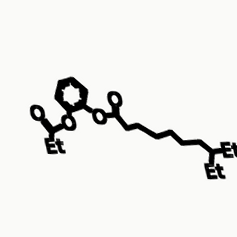 CCC(=O)Oc1ccccc1OC(=O)CCCCCCC(CC)CC